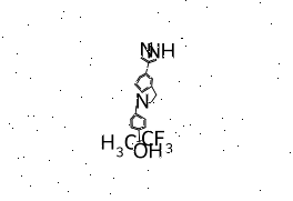 CC(O)(c1ccc(CN2CCc3cc(-c4cn[nH]c4)ccc32)cc1)C(F)(F)F